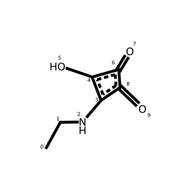 CCNc1c(O)c(=O)c1=O